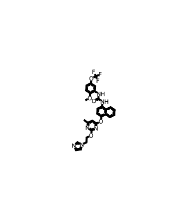 COc1ccc(OC(F)(F)F)cc1NC(=O)Nc1ccc(Oc2cc(C)nc(OCCn3ccnc3)n2)c2ccccc12